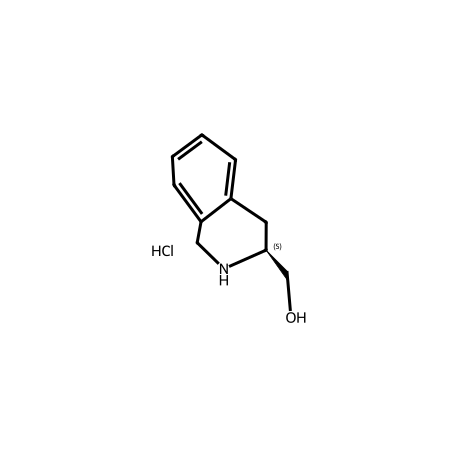 Cl.OC[C@@H]1Cc2ccccc2CN1